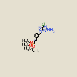 CC(C)OP(=O)(C/C=C/c1cccc(Cn2cnc3c(Cl)nc(N)nc32)c1)OC(C)C